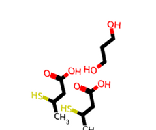 CC(S)CC(=O)O.CC(S)CC(=O)O.OCCCO